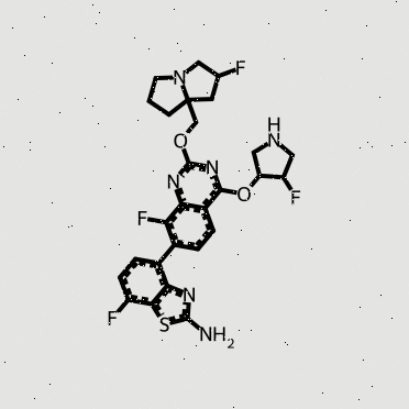 Nc1nc2c(-c3ccc4c(OC5CNCC5F)nc(OCC56CCCN5CC(F)C6)nc4c3F)ccc(F)c2s1